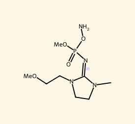 COCCN1CCN(C)/C1=N/P(=O)(OC)ON